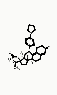 CC(=O)O[C@]1(C(C)=O)CC[C@H]2[C@@H]3CCC4=CC(=O)CCC4=C3[C@@H](c3ccc(N4CCCC4)cc3)C[C@@]21C